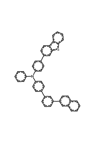 c1ccc(N(c2ccc(-c3cccc(-c4ccc5ccccc5c4)c3)cc2)c2ccc(-c3ccc4c(c3)sc3ccccc34)cc2)cc1